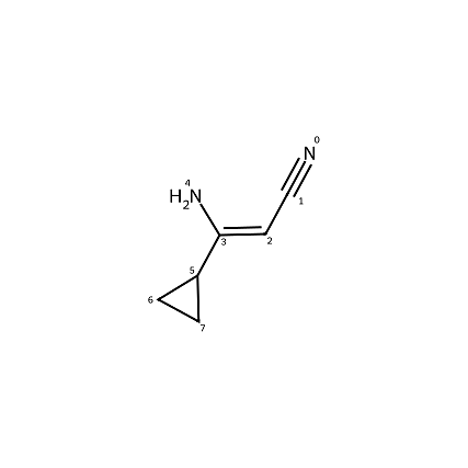 N#C/C=C(\N)C1CC1